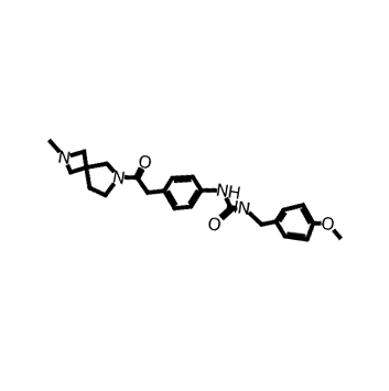 COc1ccc(CNC(=O)Nc2ccc(CC(=O)N3CCC4(CN(C)C4)C3)cc2)cc1